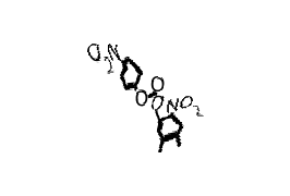 Cc1cc(COC(=O)Oc2ccc([N+](=O)[O-])cc2)c([N+](=O)[O-])cc1C